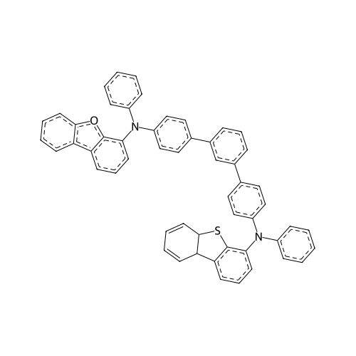 C1=CC2Sc3c(cccc3N(c3ccccc3)c3ccc(-c4cccc(-c5ccc(N(c6ccccc6)c6cccc7c6oc6ccccc67)cc5)c4)cc3)C2C=C1